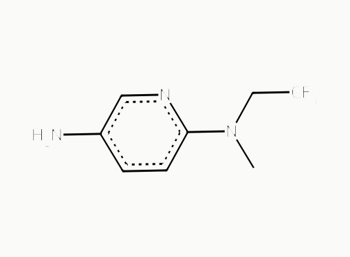 CN(CC(F)(F)F)c1ccc(N)cn1